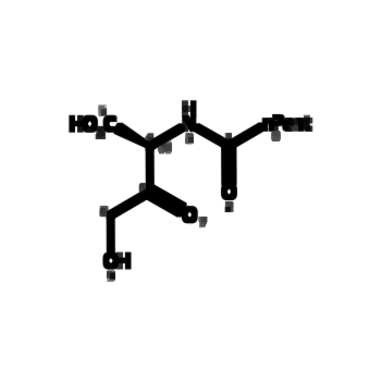 CCCCCC(=O)N[C@H](C(=O)O)C(=O)CO